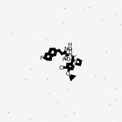 C[C@@H](NC(=O)C(CCc1ccc2cc(F)ccc2c1)=NO)[C@](O)(c1ccc(OC2CC2)c(Cl)c1)N1CCCC1